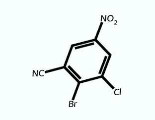 N#Cc1cc([N+](=O)[O-])cc(Cl)c1Br